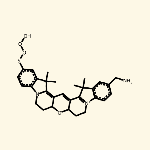 CC1(C)C2=C3C=C4C5=[N+](CCC4OC3CCN2c2ccc(SOOO)cc21)c1ccc(CN)cc1C5(C)C